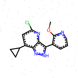 COc1ncccc1-c1[nH]nc2c(C3CC3)cc(Cl)nc12